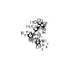 CCCC(C)C(C)C(N)=O.CCCC(C)C(C)C(N)=O.CCCC(C)C(C)C(N)=O.O=C(O)CC(CC(=O)O)C(=O)O